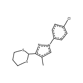 Cc1cn(-c2ccc(Cl)cc2)nc1C1SCCCS1